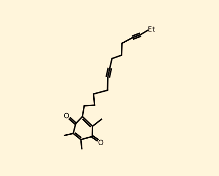 CCC#CCCCC#CCCCCC1=C(C)C(=O)C(C)=C(C)C1=O